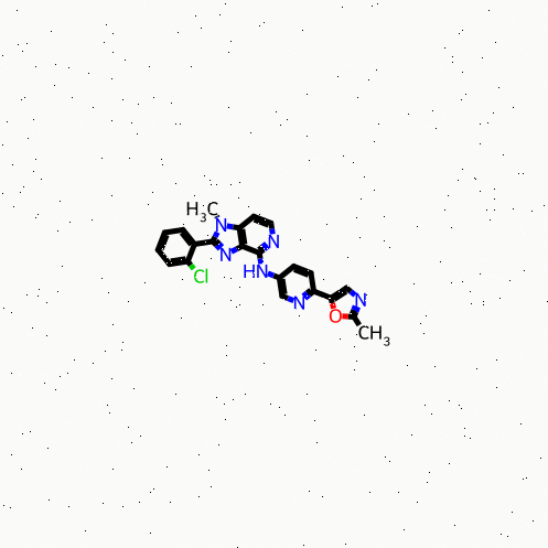 Cc1ncc(-c2ccc(Nc3nccc4c3nc(-c3ccccc3Cl)n4C)cn2)o1